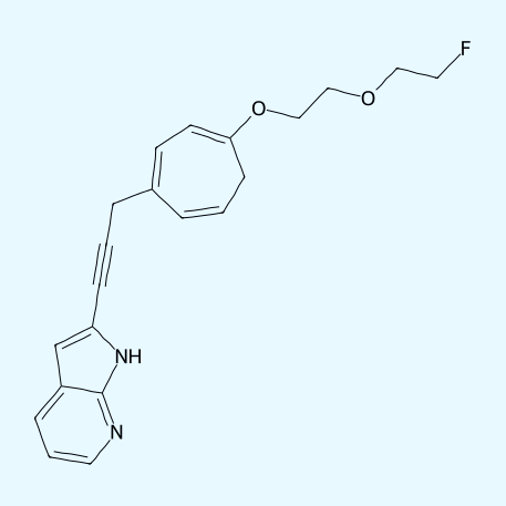 FCCOCCOC1=CC=C(CC#Cc2cc3cccnc3[nH]2)C=CC1